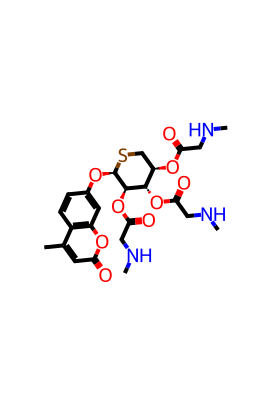 CNCC(=O)O[C@@H]1[C@@H](OC(=O)CNC)[C@@H](Oc2ccc3c(C)cc(=O)oc3c2)SC[C@H]1OC(=O)CNC